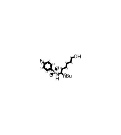 CCCCC(CCCCCO)NS(=O)(=O)c1ccc(F)cc1